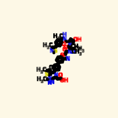 Cc1ncsc1-c1ccc(C(C)NC(=O)[C@@H]2C[C@@H](O)CN2C(=O)C(NC(=O)COc2ccc(-c3ccc(C4=NC(CC(=O)O)c5nnc(C)n5-c5sc(C)c(C)c54)cc3)cc2C#N)C(C)(C)C)cc1